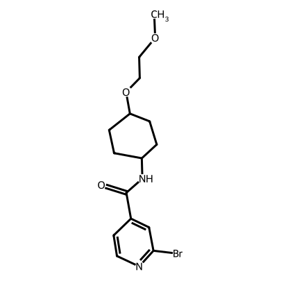 COCCOC1CCC(NC(=O)c2ccnc(Br)c2)CC1